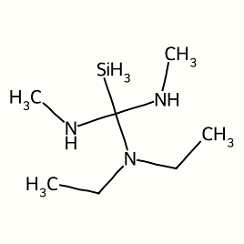 CCN(CC)C([SiH3])(NC)NC